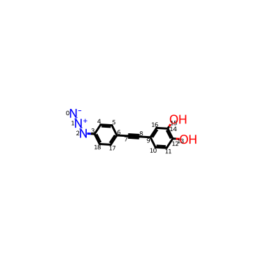 [N-]=[N+]=Nc1ccc(C#Cc2ccc(O)c(O)c2)cc1